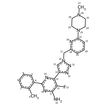 Cc1ccccc1-c1nc(N)c(F)c(-c2cn(Cc3cccc(N4CCN(C)CC4)n3)nn2)n1